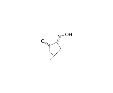 O=C1C(=NO)CC2CC12